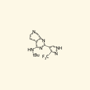 CC(C)(C)Nc1nc(-c2c[nH]nc2C(F)(F)F)nc2cnccc12